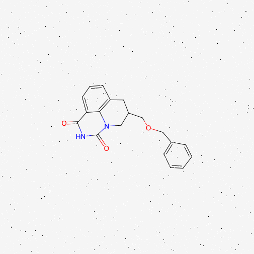 O=c1[nH]c(=O)n2c3c(cccc13)CC(COCc1ccccc1)C2